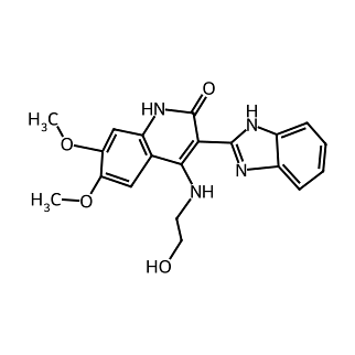 COc1cc2[nH]c(=O)c(-c3nc4ccccc4[nH]3)c(NCCO)c2cc1OC